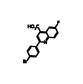 O=C(O)c1cc(-c2ccc(Br)cc2)nc2ccc(F)cc12